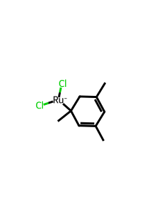 CC1=C[C](C)([Ru-]([Cl])[Cl])CC(C)=C1